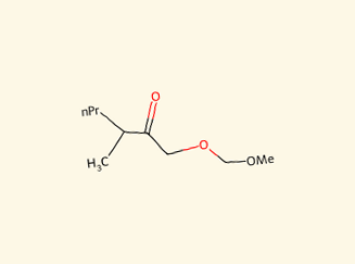 [CH2]CCC(C)C(=O)COCOC